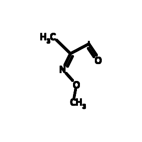 CO/N=C(/C)[C]=O